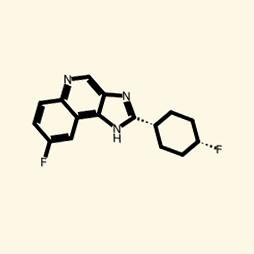 Fc1ccc2ncc3nc([C@H]4CC[C@@H](F)CC4)[nH]c3c2c1